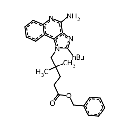 CCCCc1nc2c(N)nc3ccccc3c2n1CC(C)(C)CCC(=O)OCc1ccccc1